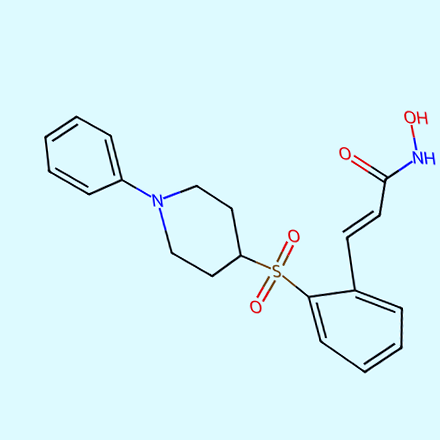 O=C(C=Cc1ccccc1S(=O)(=O)C1CCN(c2ccccc2)CC1)NO